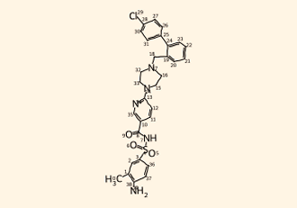 Cc1cc(S(=O)(=O)NC(=O)c2ccc(N3CCN(Cc4ccccc4-c4ccc(Cl)cc4)CC3)nc2)ccc1N